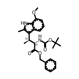 COc1cccc2c([C@H](C)[C@H](NC(=O)OC(C)(C)C)C(=O)OCc3ccccc3)c(C)[nH]c12